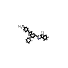 Cc1ccc(-c2cn3nc(N/N=C\c4c[nH]c5ccccc45)cc(N4CCOCC4)c3n2)cn1